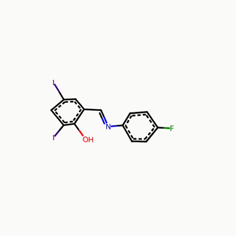 Oc1c(I)cc(I)cc1/C=N/c1ccc(F)cc1